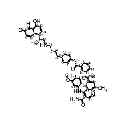 COc1cccc(Nc2c(C(N)=O)cnc3c(C)cc(S(=O)(=O)c4cccc(C(=O)Nc5ccc(CCCCNC[C@H](O)c6ccc(O)c7[nH]c(=O)ccc67)cc5)c4)cc23)c1